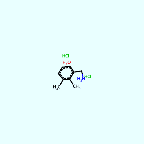 Cc1cccc(CN)c1C.Cl.Cl.O